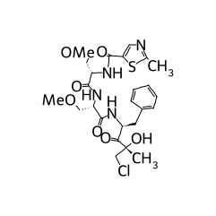 COC[C@H](NC(=O)c1cnc(C)s1)C(=O)N[C@@H](COC)C(=O)N[C@@H](Cc1ccccc1)C(=O)[C@](C)(O)CCl